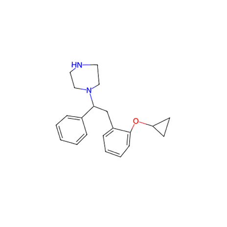 c1ccc(C(Cc2ccccc2OC2CC2)N2CCNCC2)cc1